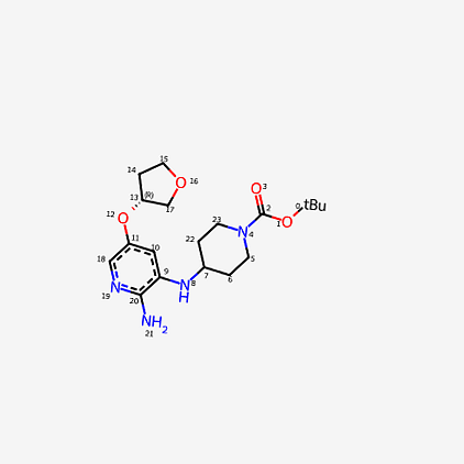 CC(C)(C)OC(=O)N1CCC(Nc2cc(O[C@@H]3CCOC3)cnc2N)CC1